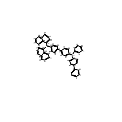 c1ccc(-c2ccc(N(c3ccccc3)c3ccc(-c4ccc(N(c5cccc6ccccc56)c5cccc6ccccc56)cc4)cc3)cc2)cc1